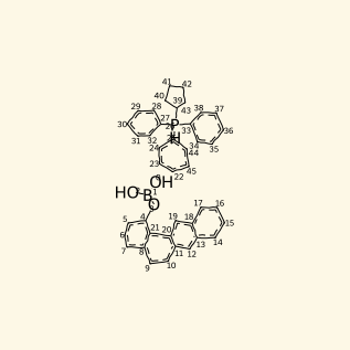 OB(O)Oc1cccc2ccc3cc4ccccc4cc3c12.c1ccc([PH](c2ccccc2)(c2ccccc2)C2CCCC2)cc1